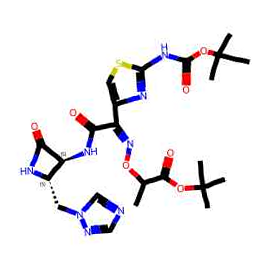 CC(ON=C(C(=O)N[C@@H]1C(=O)N[C@H]1Cn1cncn1)c1csc(NC(=O)OC(C)(C)C)n1)C(=O)OC(C)(C)C